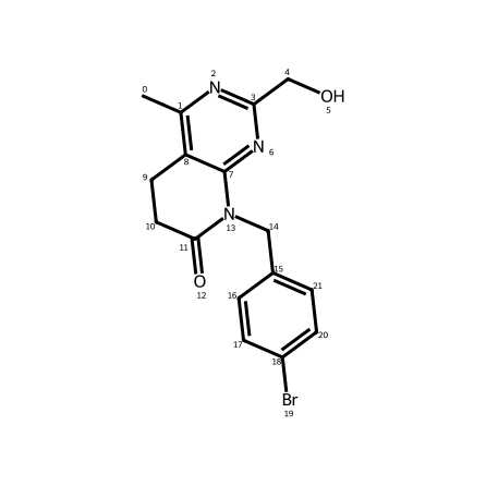 Cc1nc(CO)nc2c1CCC(=O)N2Cc1ccc(Br)cc1